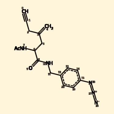 C#CCC(=C)CC(NC(C)=O)C(=O)NCc1ccc(N=[N+]=[N-])cc1